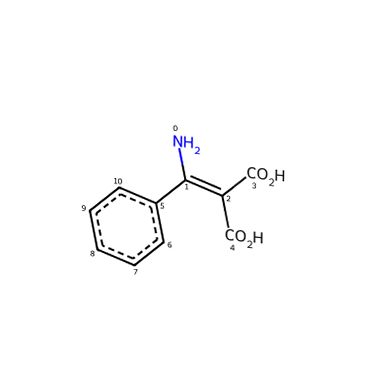 NC(=C(C(=O)O)C(=O)O)c1ccccc1